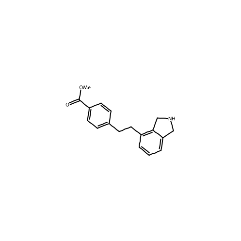 COC(=O)c1ccc(CCc2cccc3c2CNC3)cc1